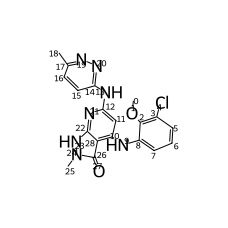 COc1c(Cl)cccc1Nc1cc(Nc2ccc(C)nn2)nc2[nH]n(C)c(=O)c12